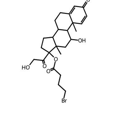 CC12C=CC(=O)C=C1CCC1C2C(O)CC2(C)C1CCC2(OC(=O)CCCBr)C(=O)CO